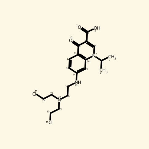 CC(C)n1cc(C(=O)O)c(=O)c2ccc(NCCN(CCCl)CCCl)cc21